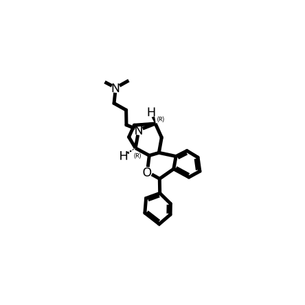 CN(C)CCCN1[C@@H]2CC[C@@H]1C1OC(c3ccccc3)c3ccccc3C1C2